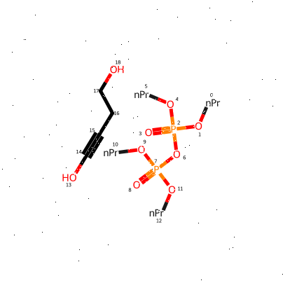 CCCOP(=O)(OCCC)OP(=O)(OCCC)OCCC.OC#CCCO